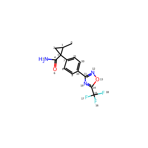 CC1CC1(C(N)=O)c1ccc(-c2noc(C(F)(F)F)n2)cc1